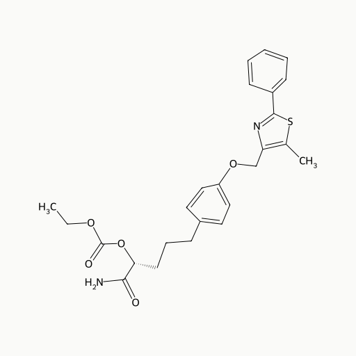 CCOC(=O)O[C@H](CCCc1ccc(OCc2nc(-c3ccccc3)sc2C)cc1)C(N)=O